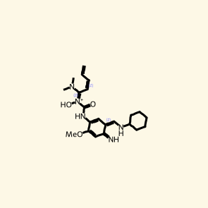 C=C/C=C\C(N(C)C)=[N+](\O)C(=O)NC1=C/C(=C/NC2CCCCC2)C(=N)C=C1OC